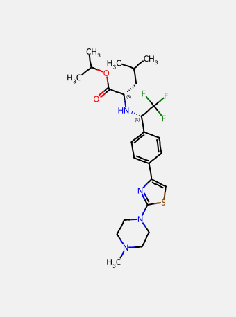 CC(C)C[C@H](N[C@@H](c1ccc(-c2csc(N3CCN(C)CC3)n2)cc1)C(F)(F)F)C(=O)OC(C)C